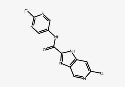 O=C(Nc1cnc(Cl)nc1)c1nc2cnc(Cl)cc2[nH]1